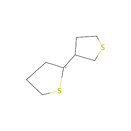 C1CS[C](C2CCSC2)C1